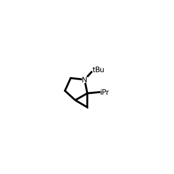 CC(C)C12CC1CCN2C(C)(C)C